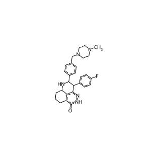 CN1CCN(Cc2ccc(C3NC4CCCc5c4c(n[nH]c5=O)C3c3ccc(F)cc3)cc2)CC1